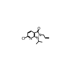 C=CCn1c(=O)c2ccc(Cl)nc2n1C(C)C